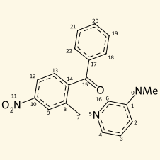 CNc1cccnc1.Cc1cc([N+](=O)[O-])ccc1C(=O)c1ccccc1